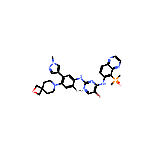 COc1cc(N2CCC3(CC2)COC3)c(-c2cnn(C)c2)cc1Nc1ncc(Br)c(Nc2ccc3nccnc3c2P(C)(C)=O)n1